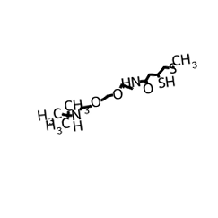 CSCC(S)CC(=O)NCCOCCOCCNC(C)(C)C